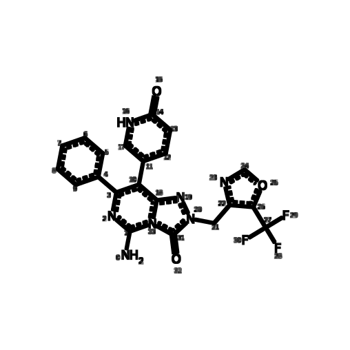 Nc1nc(-c2ccccc2)c(-c2ccc(=O)[nH]c2)c2nn(Cc3ncoc3C(F)(F)F)c(=O)n12